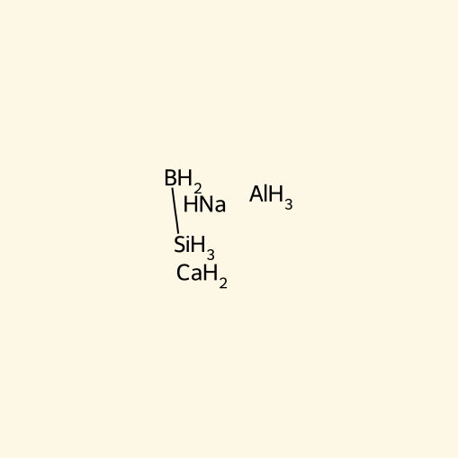 B[SiH3].[AlH3].[CaH2].[NaH]